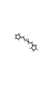 C1CCC(CSOSCC2CCCC2)C1